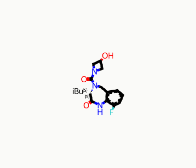 CC[C@H](C)[C@H]1C(=O)Nc2c(F)cccc2CN1C(=O)N1CC(O)C1